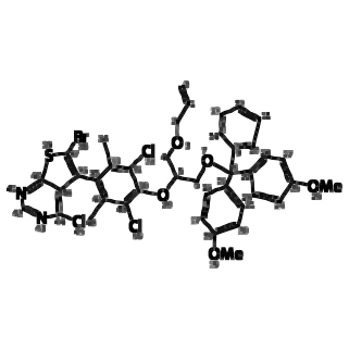 C=CCOCC(COC(c1ccccc1)(c1ccc(OC)cc1)c1ccc(OC)cc1)Oc1c(Cl)c(C)c(-c2c(Br)sc3ncnc(Cl)c23)c(C)c1Cl